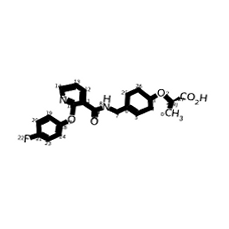 C[C@@H](OC1CC=C(CNC(=O)c2cccnc2Oc2ccc(F)cc2)CC1)C(=O)O